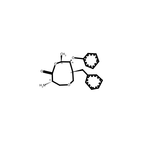 C[C@@H]1OC(=O)[C@@H](N)COC[C@H](Cc2ccccc2)[C@H]1Oc1ccccc1